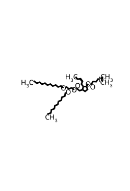 CC/C=C\CC1C(CC(=O)OCC(COCCCCCCCCCCCC)OCCCCCCCCCCCC)CCC1OC(=O)CCCN(C)C